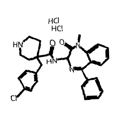 CN1C(=O)C(NC(=O)C2(Cc3ccc(Cl)cc3)CCNCC2)N=C(c2ccccc2)c2ccccc21.Cl.Cl